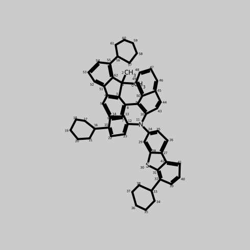 CC1(C)c2c(cccc2-c2c(N(c3ccc(C4CCCCC4)cc3)c3ccc4c(c3)sc3c(C5CCCCC5)cccc34)ccc3ccccc23)-c2cccc(C3CCCCC3)c21